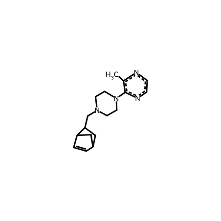 Cc1nccnc1N1CCN(CC2CC3C=CC2C3)CC1